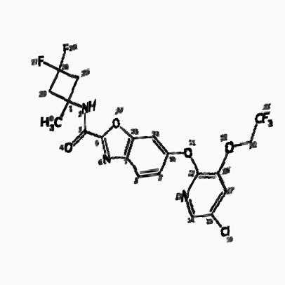 CC1(NC(=O)c2nc3ccc(Oc4ncc(Cl)cc4OCC(F)(F)F)cc3o2)CC(F)(F)C1